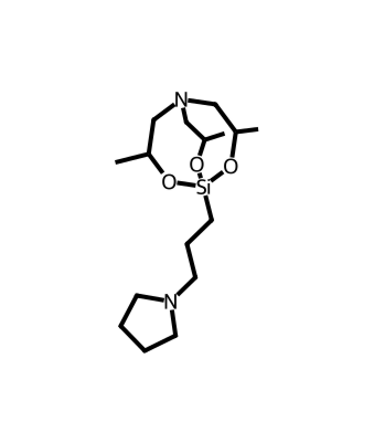 CC1CN2CC(C)O[Si](CCCN3CCCC3)(O1)OC(C)C2